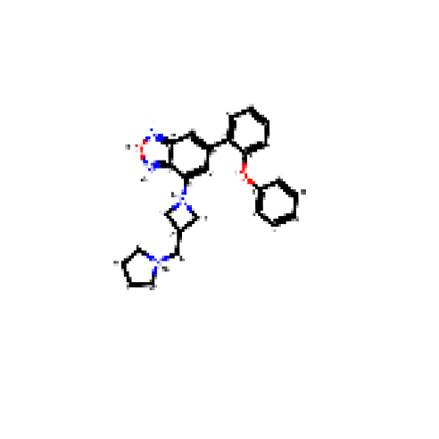 c1ccc(Oc2ccccc2-c2cc(N3CC(CN4CCCC4)C3)c3nonc3c2)cc1